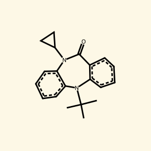 CC(C)(C)N1c2ccccc2C(=O)N(C2CC2)c2ccccc21